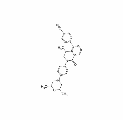 CC1CN(c2ccc(N3CC(C)c4c(cccc4-c4ccc(C#N)cc4)C3=O)cc2)CC(C)O1